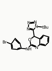 CC(C)(C)n1nnnc1C1OC(Nc2ccc(Br)cc2)=Nc2ccccc21